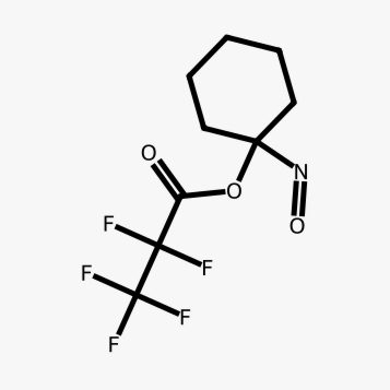 O=NC1(OC(=O)C(F)(F)C(F)(F)F)CCCCC1